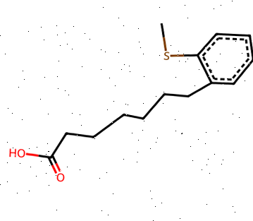 CSc1ccccc1CCCCCCC(=O)O